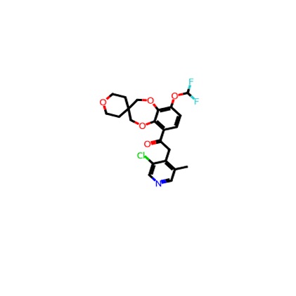 Cc1cncc(Cl)c1CC(=O)c1ccc(OC(F)F)c2c1OCC1(CCOCC1)CO2